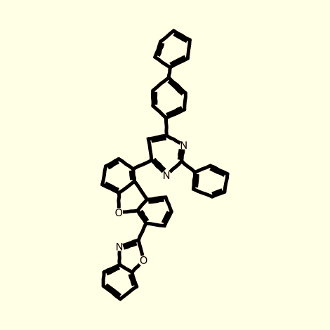 c1ccc(-c2ccc(-c3cc(-c4cccc5oc6c(-c7nc8ccccc8o7)cccc6c45)nc(-c4ccccc4)n3)cc2)cc1